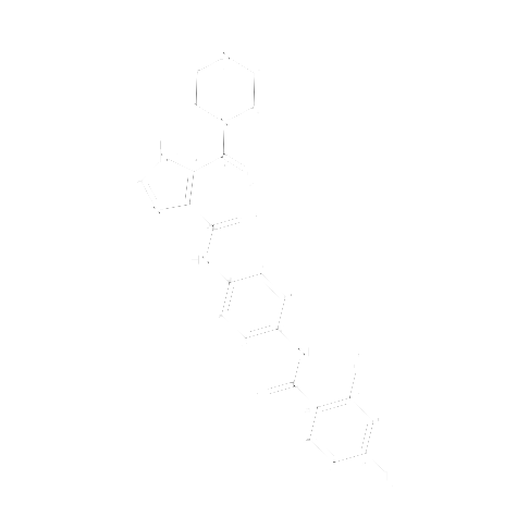 O=C(Nc1ccc(NC(=O)c2nc[nH]c2C(=O)N2CCNCC2)cc1)c1ccc(F)cc1Cl